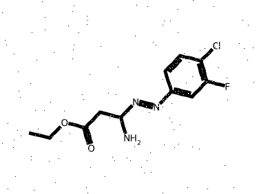 CCOC(=O)CC(N)N=Nc1ccc(Cl)c(F)c1